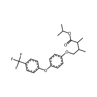 CC(C)OC(=O)C(C)C(C)COc1ccc(Oc2ccc(C(F)(F)F)cc2)cc1